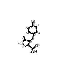 Cc1onc(C(=O)O)c1Cc1ccc(Br)cc1